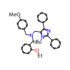 CCCCn1c(-c2ccccc2)nc(-c2ccccc2)c1CN(Cc1ccc(OC)cc1)Cc1ccccc1OCC